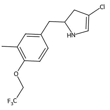 Cc1cc(CC2CC(Cl)=CN2)ccc1OCC(F)(F)F